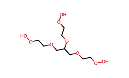 OOCCOCC(COCCOO)OCCOO